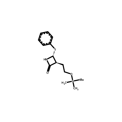 CC(C)(C)[Si](C)(C)OCC[C@H]1C(=O)N[C@@H]1Sc1ccccc1